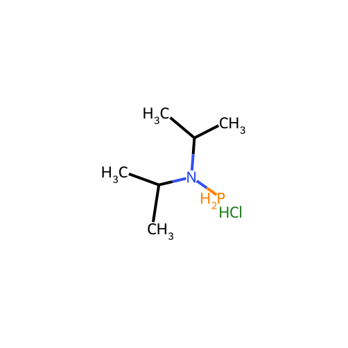 CC(C)N(P)C(C)C.Cl